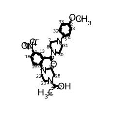 COc1ccc(N2CCN(C(=O)c3cc([N+](=O)[O-])ccc3N3CCN(C(C)O)CC3)CC2)cc1